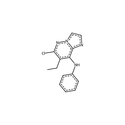 CCc1c(Cl)nn2ccnc2c1Nc1ccccc1